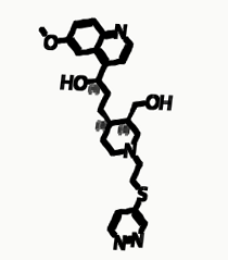 COc1ccc2nccc([C@H](O)CC[C@@H]3CCN(CCSc4ccnnc4)C[C@@H]3CO)c2c1